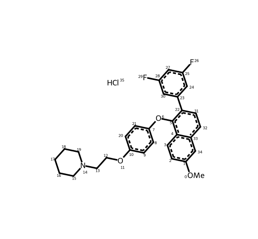 COc1ccc2c(Oc3ccc(OCCN4CCCCC4)cc3)c(-c3cc(F)cc(F)c3)ccc2c1.Cl